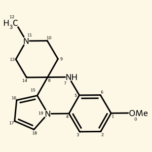 COc1ccc2c(c1)NC1(CCN(C)CC1)c1cccn1-2